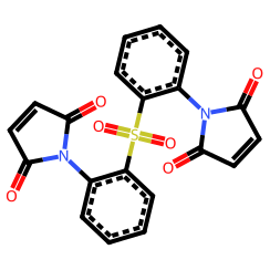 O=C1C=CC(=O)N1c1ccccc1S(=O)(=O)c1ccccc1N1C(=O)C=CC1=O